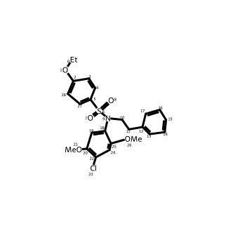 CCOc1ccc(S(=O)(=O)N(CCc2ccccc2)c2cc(OC)c(Cl)cc2OC)cc1